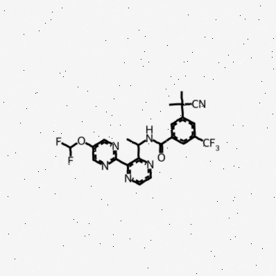 CC(NC(=O)c1cc(C(F)(F)F)cc(C(C)(C)C#N)c1)c1nccnc1-c1ncc(OC(F)F)cn1